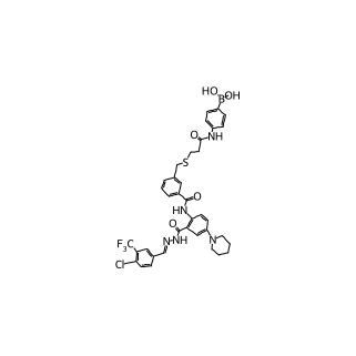 O=C(CCSCc1cccc(C(=O)Nc2ccc(N3CCCCC3)cc2C(=O)NN=Cc2ccc(Cl)c(C(F)(F)F)c2)c1)Nc1ccc(B(O)O)cc1